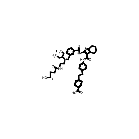 CCC(CC)N(CCNC(=O)CCC(=O)O)Cc1cccc(C(=O)Nc2sc3c(c2C(=O)Nc2ccc(CCc4ccc(C(=O)O)cc4)cc2)CCCC3)c1